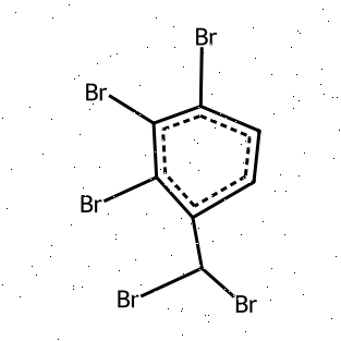 Brc1ccc(C(Br)Br)c(Br)c1Br